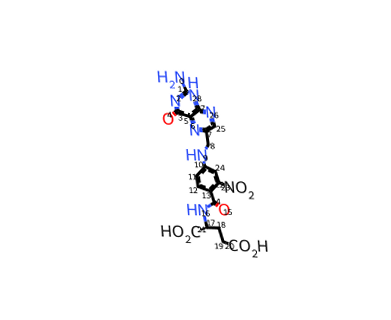 Nc1nc(=O)c2nc(CNc3ccc(C(=O)N[C@@H](CCC(=O)O)C(=O)O)c([N+](=O)[O-])c3)cnc2[nH]1